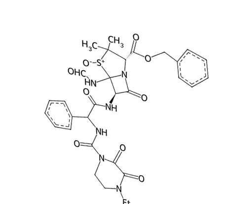 CCN1CCN(C(=O)NC(C(=O)N[C@@H]2C(=O)N3[C@@H](C(=O)OCc4ccccc4)C(C)(C)[S+]([O-])C23NC=O)c2ccccc2)C(=O)C1=O